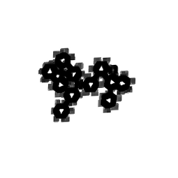 c1ccc(-c2ccc(N(c3cccc(-c4cccc5oc6c7ccccc7c(-c7ccccc7)cc6c45)c3)c3ccc4c(c3)C3(c5ccccc5-c5ccccc53)c3ccccc3-4)cc2)cc1